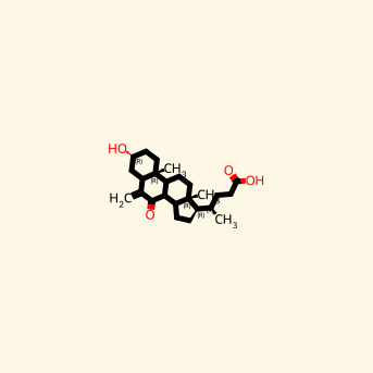 C=C1C(=O)C2C(CC[C@@]3(C)C2CC[C@@H]3[C@H](C)CCC(=O)O)[C@@]2(C)CC[C@@H](O)CC12